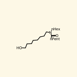 CCCCCCN(CCCCCCCCO)C(=O)CCCCC